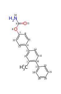 Cc1cc(-c2ccc(OC(N)=O)cc2)ccc1-c1ccccc1